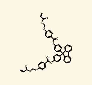 C=CC(=O)OCOc1ccc(C(=O)Oc2ccc(C3(c4ccc(OC(=O)c5ccc(OCOC(=O)C=C)cc5)cc4)c4ccccc4-c4ccccc43)cc2)cc1